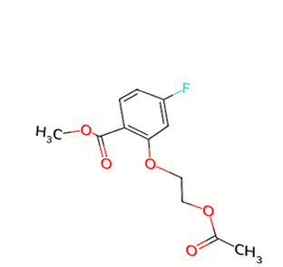 COC(=O)c1ccc(F)cc1OCCOC(C)=O